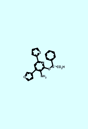 Nc1c(-c2ccoc2)cc(-c2cccs2)nc1O[C@@H](C(=O)O)c1ccccc1